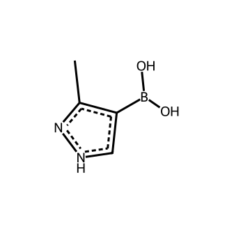 Cc1n[nH]cc1B(O)O